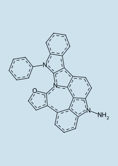 Nn1c2cccc3c4ccoc4n4c5c(ccc1c5c32)c1c2ccccc2n(-c2ccccc2)c14